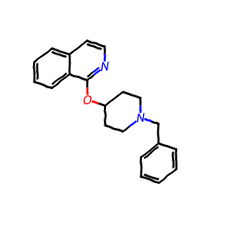 c1ccc(CN2CCC(Oc3nccc4ccccc34)CC2)cc1